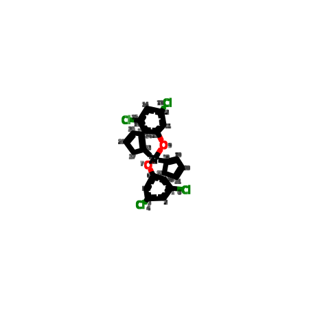 Clc1cc(Cl)cc([O][Zr]([O]c2cc(Cl)cc(Cl)c2)([C]2=CC=CC2)[C]2=CC=CC2)c1